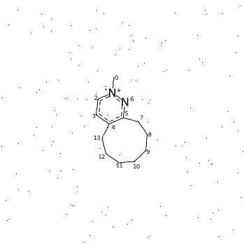 C[n+]1ccc2c(n1)CCCCCCC2